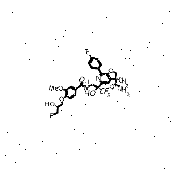 COc1cc(C(=O)NC[C@](O)(c2cc3c(c(-c4ccc(F)cc4)n2)OC[C@]3(C)C(N)=O)C(F)(F)F)ccc1OC[C@H](O)CF